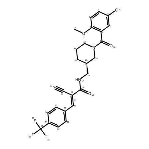 COc1ccc(Cl)cc1C(=O)N1CCC[C@H](CNC(=O)/C(C#N)=C/c2ccc(C(F)(F)F)cc2)C1